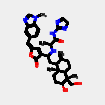 C=C1CCC2[C@](C)(CC[C@@H](O)[C@@]2(C)CO)C1CC(NC(C)C(=O)NC1=NCC=N1)C1=C/C(=C\c2ccc3c(c2)ncn3C)OC1=O